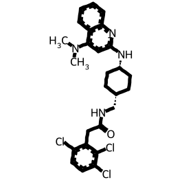 CN(C)c1cc(N[C@H]2CC[C@@H](CNC(=O)Cc3c(Cl)ccc(Cl)c3Cl)CC2)nc2ccccc12